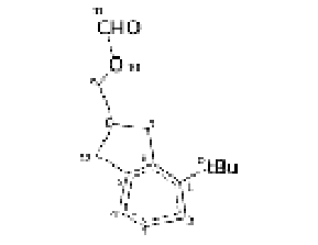 CC(C)(C)c1cccc2c1CC(COC=O)C2